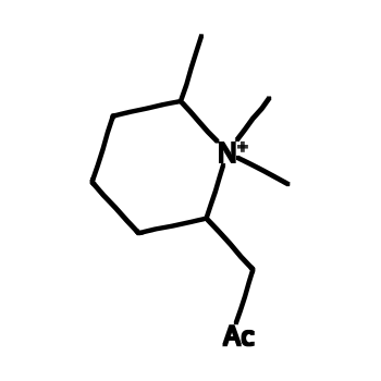 CC(=O)CC1CCCC(C)[N+]1(C)C